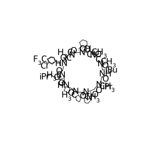 CC[C@H](C)[C@@H]1NC(=O)[C@H](CC(C)C)N(C)C(=O)C[C@@H](C(=O)N2CCCCC2)N(C)C(=O)[C@H](C2CCCC2)N(C)C(=O)C2(CCCC2)NC(=O)[C@@H](COCCC(C)C)N(C)C(=O)[C@H](CCc2ccc(C(F)(F)F)c(Cl)c2)NC(=O)CN(C)C(=O)[C@H](CC2CCCCC2)N(C)C(=O)CN(C)C(=O)CN(C)C1=O